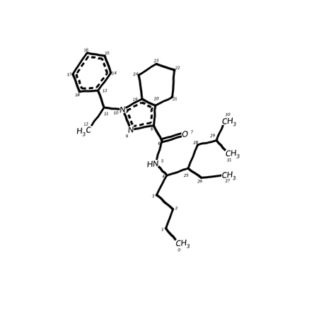 CCCCC(NC(=O)c1nn(C(C)c2ccccc2)c2c1CCCC2)C(CC)CC(C)C